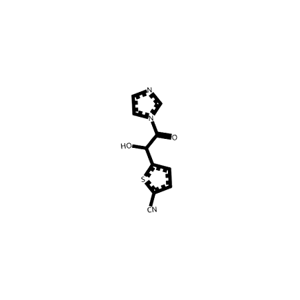 N#Cc1ccc(C(O)C(=O)n2ccnc2)s1